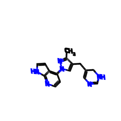 Cc1nn(-c2ccnc3[nH]ccc23)cc1CC1=CN=CNC1